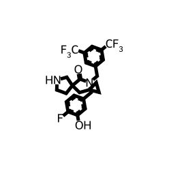 O=C(N(Cc1cc(C(F)(F)F)cc(C(F)(F)F)c1)Cc1ccc(F)c(O)c1)C1(CC2CC2)CCNC1